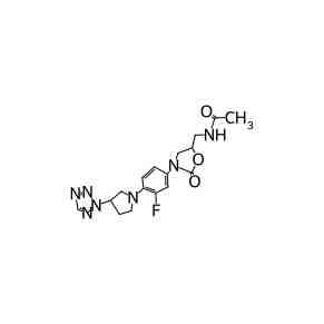 CC(=O)NCC1CN(c2ccc(N3CCC(n4ncnn4)C3)c(F)c2)C(=O)O1